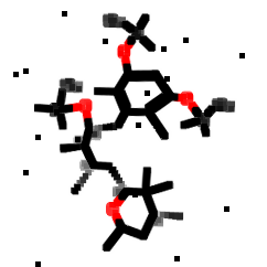 Cc1c(O[Si](C)(C)C(C)(C)C)cc(O[Si](C)(C)C(C)(C)C)c(C)c1C[C@@H](O[Si](C)(C)C(C)(C)C)[C@H](C)[C@@H](C)C[C@H]1OC(C)C[C@@H](C)C1(C)C